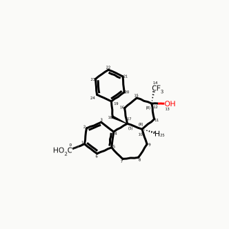 O=C(O)c1ccc2c(c1)CCC[C@@H]1C[C@@](O)(C(F)(F)F)CC[C@@]21Cc1ccccc1